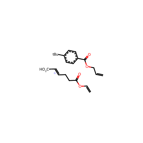 C=CCOC(=O)c1ccc(C(C)(C)C)cc1.C=COC(=O)CC/C=C/C(=O)O